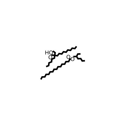 CCCCCCCCCCC(CC)(CCCCCC)C(=O)O.CCCCCCCCCCCCCCCC(=O)OCC(CC)CCCC